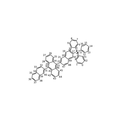 c1ccc(S(c2ccccc2)(c2ccccc2)c2ccc3cc(-c4c5ccccc5c(-c5ccc6ccccc6c5)c5ccccc45)ccc3c2)cc1